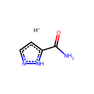 NC(=O)c1ccn[nH]1.[H+]